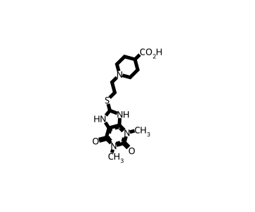 Cn1c2c(c(=O)n(C)c1=O)NC(SCCN1CCC(C(=O)O)CC1)N2